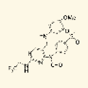 COc1ccc(N(C)Cc2cnc(NCC(F)(F)F)nc2N(C=O)c2ccc(S(C)(=O)=O)cc2)cc1